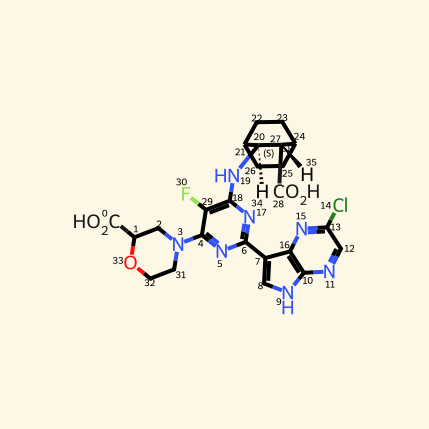 O=C(O)C1CN(c2nc(-c3c[nH]c4ncc(Cl)nc34)nc(N[C@H]3C4CCC(CC4)[C@@H]3C(=O)O)c2F)CCO1